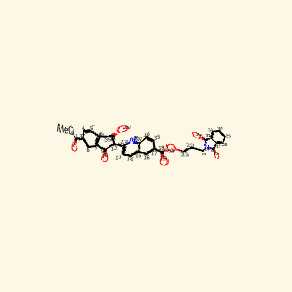 COC(=O)c1ccc2c(c1)C(=O)C(c1ccc3cc(C(=O)OCCCN4C(=O)c5ccccc5C4=O)ccc3n1)C2=O